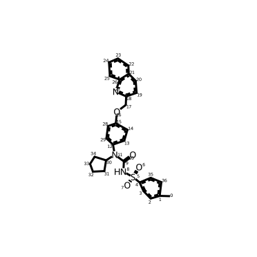 Cc1ccc(S(=O)(=O)NC(=O)N(c2ccc(OCc3ccc4ccccc4n3)cc2)C2CCCC2)cc1